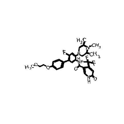 COCCOc1ccc(-c2cc(NC(=O)c3c[nH]c(=O)cc3C(F)(F)F)c(N3CC(C)N(C)C(C)C3)cc2F)cc1